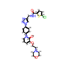 O=C(NCc1cn(-c2ccc(-n3cccc(OCCN4CCOCC4)c3=O)cc2)nn1)c1ccc(Cl)s1